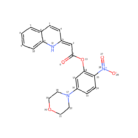 O=C(C=C1C=Cc2ccccc2N1)Oc1cc(N2CCOCC2)ccc1[N+](=O)[O-]